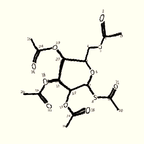 CC(=O)OCC1OC(SC(C)=O)C(OC(C)=O)C(OC(C)=O)C1OC(C)=O